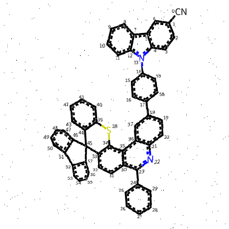 N#Cc1ccc2c(c1)c1ccccc1n2-c1ccc(-c2ccc3nc(-c4ccccc4)c4ccc5c(c4c3c2)Sc2ccccc2C52c3ccccc3-c3ccccc32)cc1